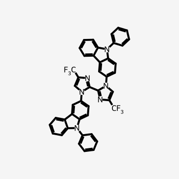 FC(F)(F)c1cn(-c2ccc3c(c2)c2ccccc2n3-c2ccccc2)c(-c2nc(C(F)(F)F)cn2-c2ccc3c(c2)c2ccccc2n3-c2ccccc2)n1